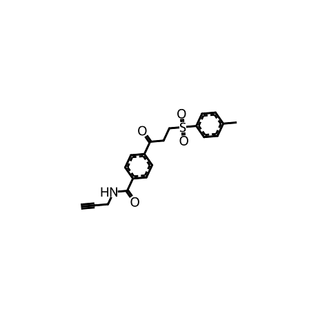 C#CCNC(=O)c1ccc(C(=O)CCS(=O)(=O)c2ccc(C)cc2)cc1